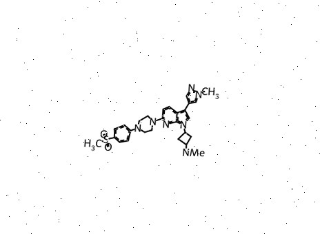 CNC1CC(n2cc(-c3cnn(C)c3)c3ccc(N4CCN(c5ccc(S(C)(=O)=O)cc5)CC4)nc32)C1